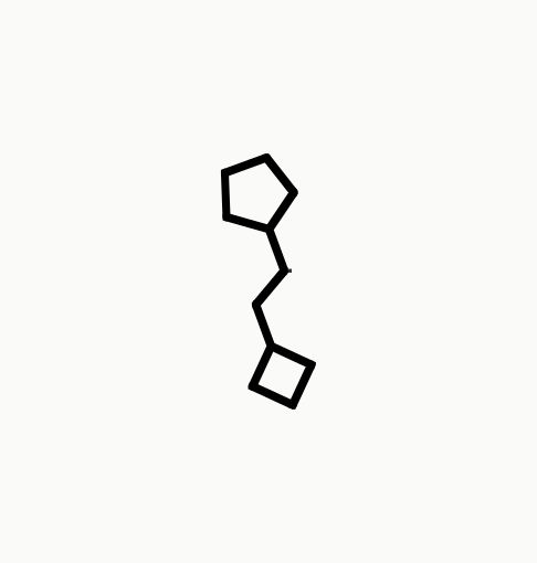 [CH](CC1CCC1)C1CCCC1